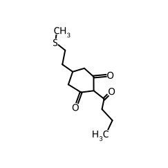 CCCC(=O)C1C(=O)CC(CCSC)CC1=O